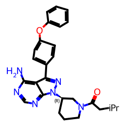 CC(C)CC(=O)N1CCC[C@@H](n2nc(-c3ccc(Oc4ccccc4)cc3)c3c(N)ncnc32)C1